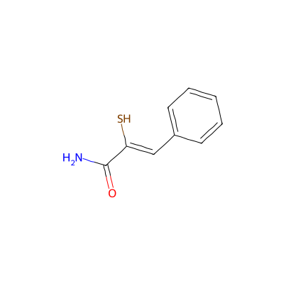 NC(=O)C(S)=Cc1ccccc1